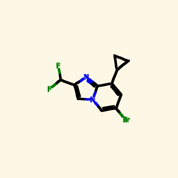 FC(F)c1cn2cc(Br)cc(C3CC3)c2n1